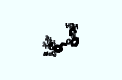 [2H]C([2H])([2H])Oc1cc(CCO[C@@H]2CCCC[C@H]2N2CC[C@@]([2H])(O)C2)ccc1OC